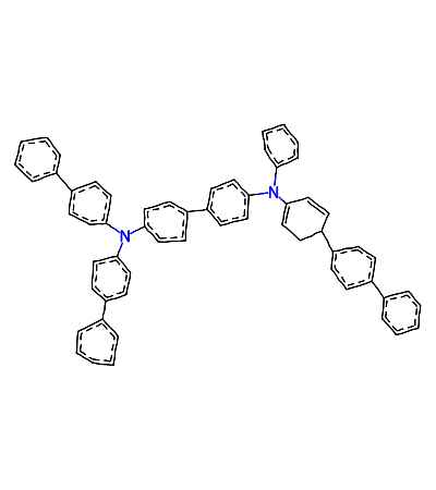 C1=CC(c2ccc(-c3ccccc3)cc2)CC=C1N(c1ccccc1)c1ccc(-c2ccc(N(c3ccc(-c4ccccc4)cc3)c3ccc(-c4ccccc4)cc3)cc2)cc1